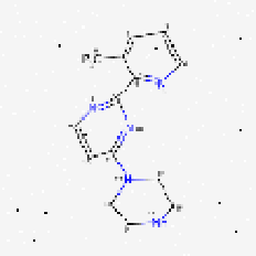 FC(F)(F)c1cccnc1-c1nccc(N2CCNCC2)n1